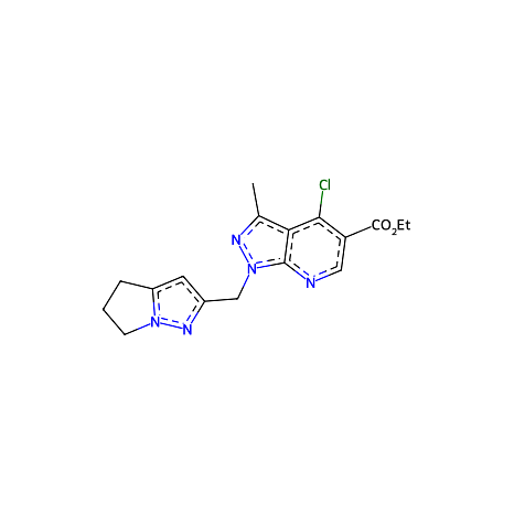 CCOC(=O)c1cnc2c(c(C)nn2Cc2cc3n(n2)CCC3)c1Cl